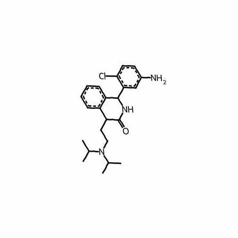 CC(C)N(CCC1C(=O)NC(c2cc(N)ccc2Cl)c2ccccc21)C(C)C